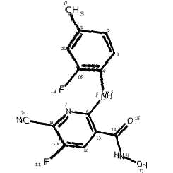 Cc1ccc(Nc2nc(C#N)c(F)cc2C(=O)NO)c(F)c1